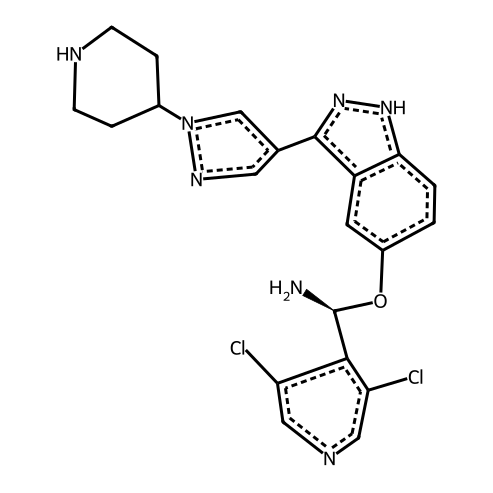 N[C@@H](Oc1ccc2[nH]nc(-c3cnn(C4CCNCC4)c3)c2c1)c1c(Cl)cncc1Cl